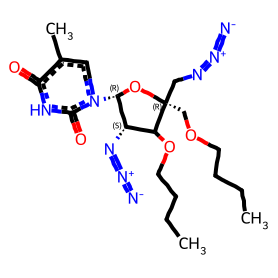 CCCCOC[C@@]1(CN=[N+]=[N-])O[C@@H](n2cc(C)c(=O)[nH]c2=O)[C@@H](N=[N+]=[N-])C1OCCCC